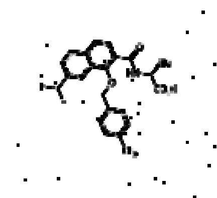 CCC(C)[C@H](NC(=O)c1ccc2ccc(C(F)F)cc2c1OCc1ccc(C(F)(F)F)cc1)C(=O)O